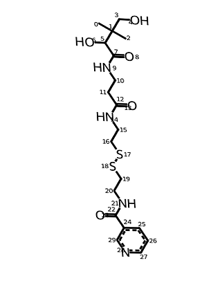 CC(C)(CO)C(O)C(=O)NCCC(=O)NCCSSCCNC(=O)c1cccnc1